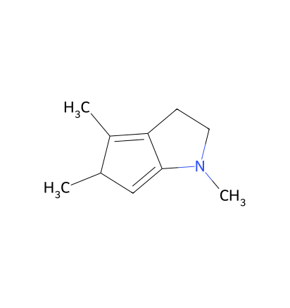 CC1=C2CCN(C)C2=CC1C